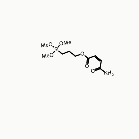 CO[Si](CCCOC(=O)/C=C\C(N)=O)(OC)OC